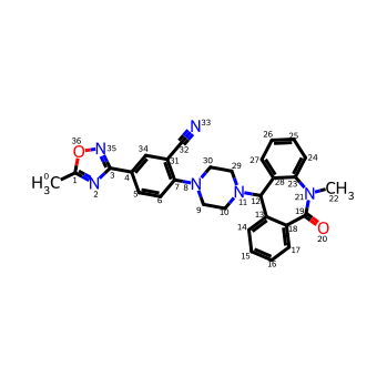 Cc1nc(-c2ccc(N3CCN(C4c5ccccc5C(=O)N(C)c5ccccc54)CC3)c(C#N)c2)no1